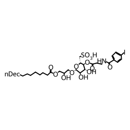 CCCCCCCCCCCCCCCCCC(=O)OCC(O)CO[C@@H]1O[C@H](CS(=O)(=O)O)[C@@H](OC(=O)CCNC(=O)c2ccc(I)cc2)[C@H](O)[C@H]1O